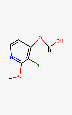 COc1nccc(OBO)c1Cl